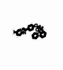 CC(Oc1ccc(-c2cn3cc(I)ccc3n2)cc1)O[Si](c1ccccc1)(c1ccccc1)C(C)(C)C